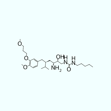 CCCCCNC(=O)NC[C@H](O)[C@@H](N)C[C@H](Cc1ccc(OC)c(OCCCOC)c1)C(C)C